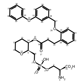 N[C@@H](COP(=O)(O)OC[C@H]1OCCC[C@H]1OC(=O)CCc1ccccc1OCc1cccc(Oc2ccccc2)c1)C(=O)O